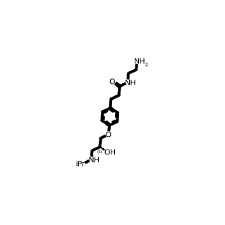 CC(C)NC[C@H](O)COc1ccc(CCC(=O)NCCN)cc1